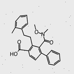 CON(C)C(=O)c1c(-c2ccccc2)ccc(C(=O)O)c1CCc1ccccc1C